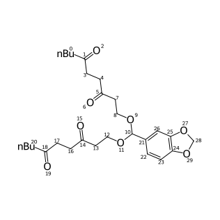 CCCCC(=O)CCC(=O)CCOC(OCCC(=O)CCC(=O)CCCC)c1ccc2c(c1)OCO2